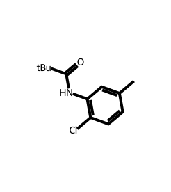 Cc1ccc(Cl)c(NC(=O)C(C)(C)C)c1